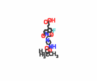 CC(C)(C)OC(=O)NC1CCN(C[C@@H]2COc3c(F)cc(/C=C/C(=O)O)c4ccc(=O)n2c34)CC1